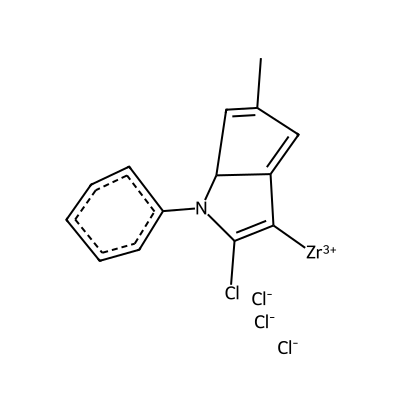 CC1=CC2C(=C1)[C]([Zr+3])=C(Cl)N2c1ccccc1.[Cl-].[Cl-].[Cl-]